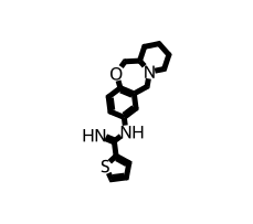 N=C(Nc1ccc2c(c1)CN1CCCCC1CO2)c1cccs1